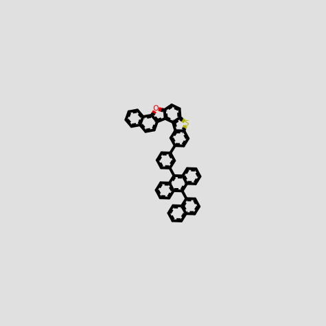 c1cc(-c2ccc3sc4ccc5oc6c7ccccc7ccc6c5c4c3c2)cc(-c2c3ccccc3c(-c3cccc4ccccc34)c3ccccc23)c1